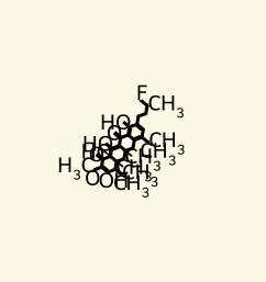 CC(=O)C1=C(O)C(C(C)C)[C@@]2(C)C[C@@]3(C)Cc4c(C(C)C)cc(CCC(C)CF)c(O)c4C(=O)C3=C(O)[C@@]2(O)C1=O